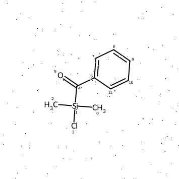 C[Si](C)(Cl)C(=O)c1ccccc1